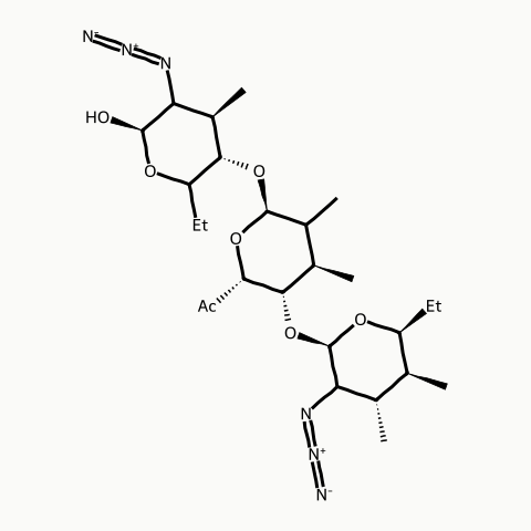 CCC1O[C@@H](O)C(N=[N+]=[N-])[C@@H](C)[C@@H]1O[C@@H]1O[C@@H](C(C)=O)[C@@H](O[C@H]2O[C@@H](CC)[C@@H](C)[C@H](C)C2N=[N+]=[N-])[C@H](C)C1C